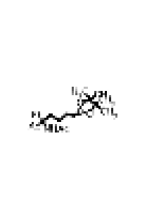 CC[C@@](CCCCB1OC(C)(C)C(C)(C)O1)(NC(C)=O)C(C)=O